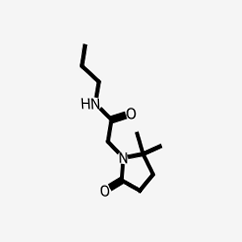 CCCNC(=O)CN1C(=O)CCC1(C)C